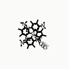 CC1=C(C)[C]([Ti+3])([Si](c2cc(N(C)C)c(C)c(C)c2N(C)C)(c2cc(N(C)C)c(C)c(C)c2N(C)C)c2cc(N(C)C)c(C)c(C)c2N(C)C)C(C)=C1C.[Cl-].[Cl-].[Cl-]